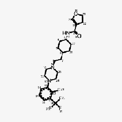 O=C(N[C@H]1CC[C@H](CCN2CCN(c3cccc(C(F)(F)F)c3F)CC2)CC1)C1=COCC1